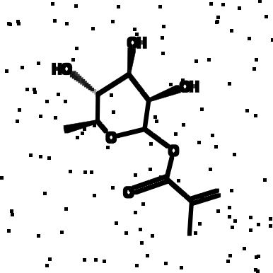 C=C(C)C(=O)OC1O[C@@H](C)[C@H](O)[C@@H](O)[C@H]1O